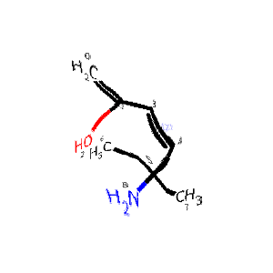 C=C(O)/C=C\C(C)(C)N